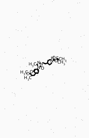 COC(=O)C(C)Cc1ccc(-n2c(C)nn(CCC3CCN(C(=O)OC(C)(C)C)CC3)c2=O)cc1